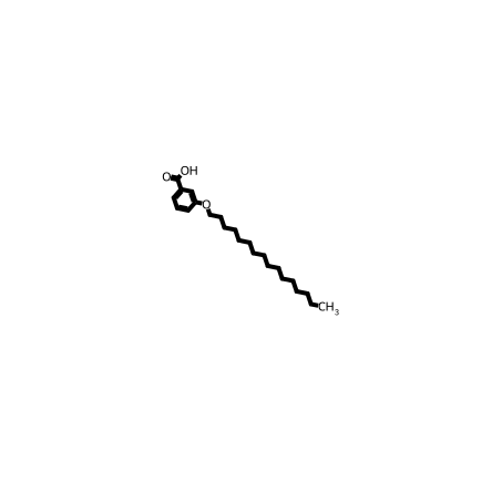 CCCCCCCCCCCCCCCCOc1cccc(C(=O)O)c1